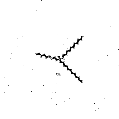 CCCCCCCCCCCC[N+](C)(CCCCCCCCCCCC)CCOOCCCCC.[Cl-]